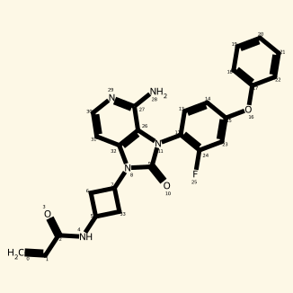 C=CC(=O)NC1CC(n2c(=O)n(-c3ccc(Oc4ccccc4)cc3F)c3c(N)nccc32)C1